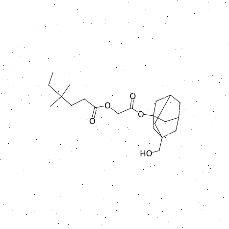 CCC(C)(C)CCC(=O)OCC(=O)OC12CC3CC(CC(CO)(C3)C1)C2